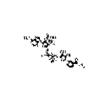 NC(=O)c1ccc[n+]([C@@H]2O[C@H](COP(=O)(O)OP(=O)(O)OC[C@H]3O[C@@H](n4cnc5c(N)ncnc54)C(OP(=O)(O)O)C3O)C(O)C2O)c1